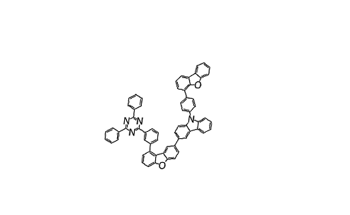 c1ccc(-c2nc(-c3ccccc3)nc(-c3cccc(-c4cccc5oc6ccc(-c7ccc8c(c7)c7ccccc7n8-c7ccc(-c8cccc9c8oc8ccccc89)cc7)cc6c45)c3)n2)cc1